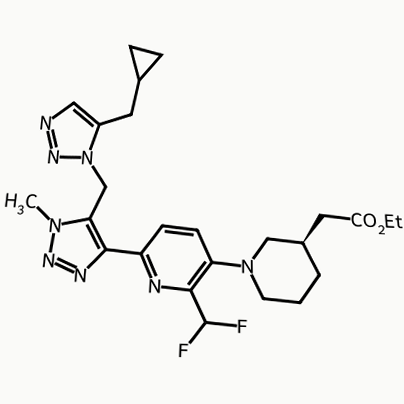 CCOC(=O)C[C@H]1CCCN(c2ccc(-c3nnn(C)c3Cn3nncc3CC3CC3)nc2C(F)F)C1